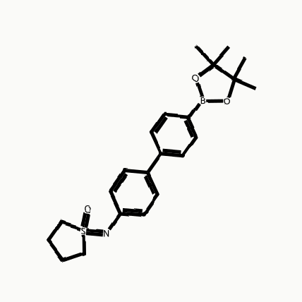 CC1(C)OB(c2ccc(-c3ccc(N=S4(=O)CCCC4)cc3)cc2)OC1(C)C